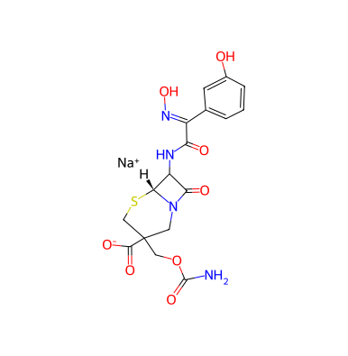 NC(=O)OCC1(C(=O)[O-])CS[C@@H]2C(NC(=O)C(=NO)c3cccc(O)c3)C(=O)N2C1.[Na+]